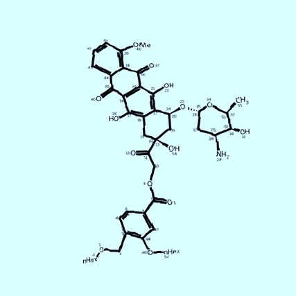 CCCCCCOCc1ccc(C(=O)OCC(=O)[C@]2(O)Cc3c(O)c4c(c(O)c3[C@@H](O[C@H]3C[C@H](N)[C@H](O)[C@H](C)O3)C2)C(=O)c2c(OC)cccc2C4=O)cc1OCCCCCC